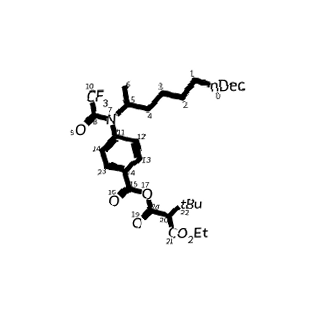 CCCCCCCCCCCCCCC(C)N(C(=O)C(F)(F)F)c1ccc(C(=O)OC(=O)C(C(=O)OCC)C(C)(C)C)cc1